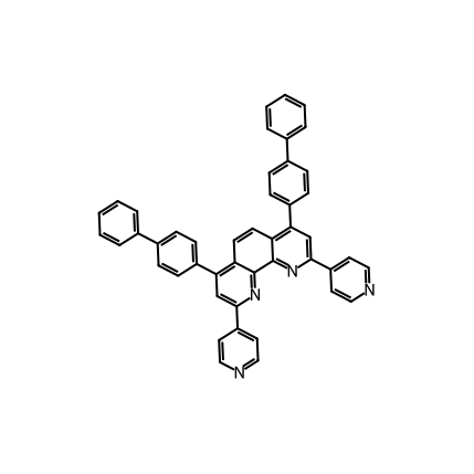 c1ccc(-c2ccc(-c3cc(-c4ccncc4)nc4c3ccc3c(-c5ccc(-c6ccccc6)cc5)cc(-c5ccncc5)nc34)cc2)cc1